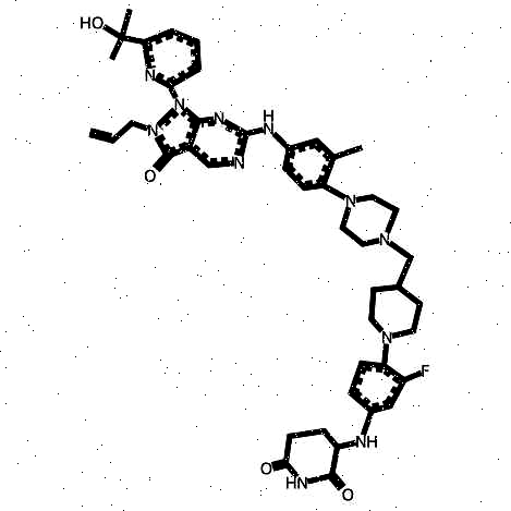 C=CCn1c(=O)c2cnc(Nc3ccc(N4CCN(CC5CCN(c6ccc(NC7CCC(=O)NC7=O)cc6F)CC5)CC4)c(C)c3)nc2n1-c1cccc(C(C)(C)O)n1